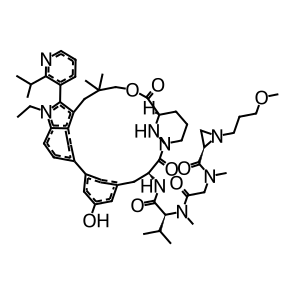 CCn1c(-c2cccnc2C(C)C)c2c3cc(ccc31)-c1cc(O)cc(c1)C[C@H](NC(=O)[C@H](C(C)C)N(C)C(=O)CN(C)C(=O)[C@H]1CN1CCCOC)C(=O)N1CCC[C@H](N1)C(=O)OCC(C)(C)C2